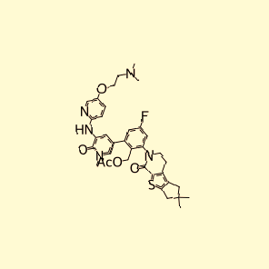 CC(=O)OCc1c(-c2cc(Nc3ccc(OCCN(C)C)cn3)c(=O)n(C)c2)cc(F)cc1N1CCc2c(sc3c2CC(C)(C)C3)C1=O